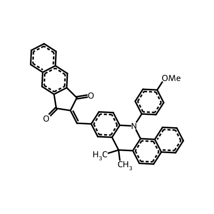 COc1ccc(N2c3ccc(C=C4C(=O)c5cc6ccccc6cc5C4=O)cc3C(C)(C)c3ccc4ccccc4c32)cc1